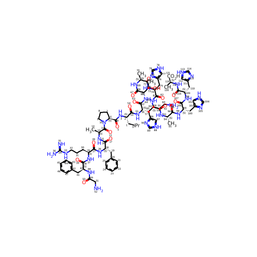 CC(C)C[C@H](NC(=O)[C@@H]1CCCN1C(=O)[C@H](C)NC(=O)[C@H](Cc1ccccc1)NC(=O)[C@H](CCCNC(=N)N)NC(=O)[C@H](Cc1ccccc1)NC(=O)CN)C(=O)N[C@@H](CCCCN)C(=O)N[C@H](C(=O)N[C@@H](C)C(=O)N[C@@H](Cc1c[nH]cn1)C(=O)N[C@@H](Cc1c[nH]cn1)C(=O)N[C@@H](C)C(=O)N[C@@H](Cc1c[nH]cn1)C(=O)N[C@@H](Cc1c[nH]cn1)C(=O)N[C@@H](C)C(=O)O)[C@@H](C)O